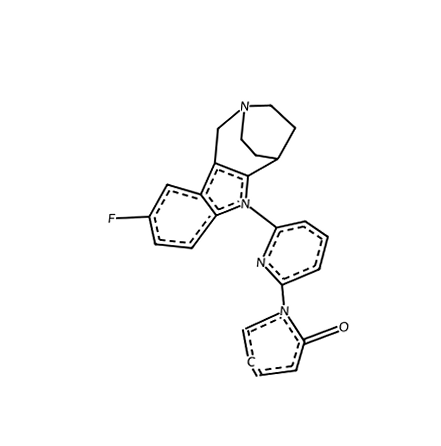 O=c1ccccn1-c1cccc(-n2c3c(c4cc(F)ccc42)CN2CCC3CC2)n1